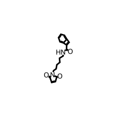 O=C(NCCCCCCN1C(=O)C=CC1=O)C1=Cc2ccccc21